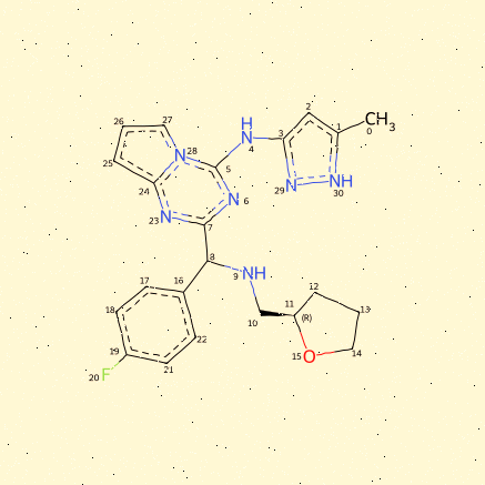 Cc1cc(Nc2nc(C(NC[C@H]3CCCO3)c3ccc(F)cc3)nc3cccn23)n[nH]1